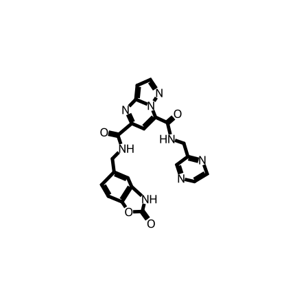 O=C(NCc1ccc2oc(=O)[nH]c2c1)c1cc(C(=O)NCc2cnccn2)n2nccc2n1